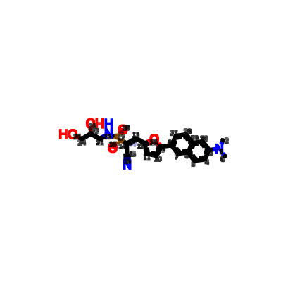 CN(C)c1ccc2cc(-c3ccc(/C=C(\C#N)S(=O)(=O)NCC(O)CO)o3)ccc2c1